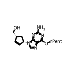 CCCCCOc1nc(N)nc2c1ncn2[C@@H]1C=C[C@H](CO)C1